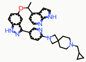 CC(Oc1ccc2[nH]nc(-c3ccc(N4CC5(CCN(CC6CC6)CC5)C4)nc3)c2c1)c1ccnc2[nH]ccc12